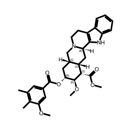 COC(=O)[C@H]1[C@H]2C[C@@H]3c4[nH]c5ccccc5c4CCN3C[C@H]2C[C@@H](OC(=O)c2cc(C)c(C)c(OC)c2)[C@@H]1OC